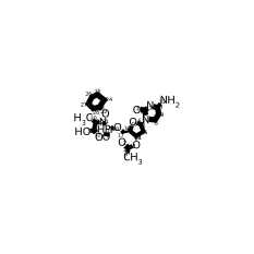 CC(=O)O[C@H]1C[C@H](n2ccc(N)nc2=O)O[C@@H]1CO[PH](=O)N(Oc1ccccc1)C(C)C(=O)O